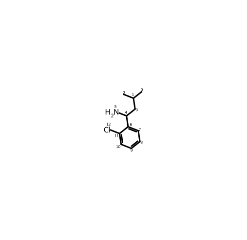 CC(C)CC(N)c1ccccc1Cl